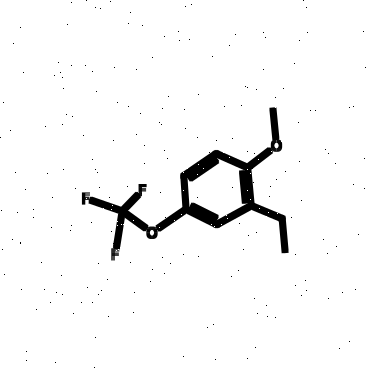 CCc1cc(OC(F)(F)F)ccc1OC